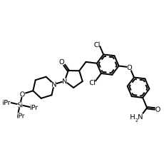 CC(C)[Si](OC1CCN(N2CCC(Cc3c(Cl)cc(Oc4ccc(C(N)=O)cc4)cc3Cl)C2=O)CC1)(C(C)C)C(C)C